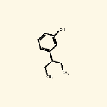 CCN(CC)c1cccc(O)c1